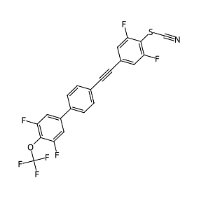 N#CSc1c(F)cc(C#Cc2ccc(-c3cc(F)c(OC(F)(F)F)c(F)c3)cc2)cc1F